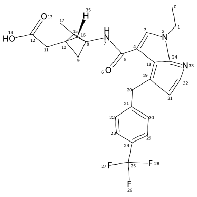 CCn1cc(C(=O)NC23CC(CC(=O)O)(C2)[C@@H]3C)c2c(Cc3ccc(C(F)(F)F)cc3)ccnc21